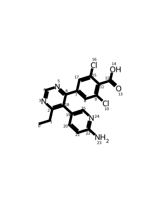 CCc1ncnc(-c2cc(Cl)c(C(=O)O)c(Cl)c2)c1-c1ccc(N)nc1